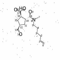 C=CCCCCN(C)C(=O)[C@@H]1C[C@@H](C=O)C[C@H]1C(=O)O